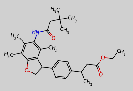 CCOC(=O)CC(C)c1ccc(C2COc3c(C)c(C)c(NC(=O)CC(C)(C)C)c(C)c32)cc1